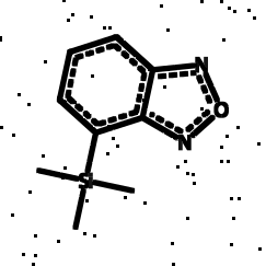 C[Si](C)(C)c1cccc2nonc12